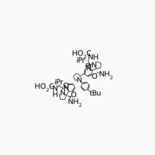 CC(C)[C@H](NC(=O)O)C(=O)N1CCC[C@@]1(C(N)=O)c1ccc([C@@H]2CC[C@@H](c3ccc([C@]4(C(N)=O)CCCN4C(=O)[C@@H](NC(=O)O)C(C)C)nc3)N2c2ccc(C(C)(C)C)cc2)cn1